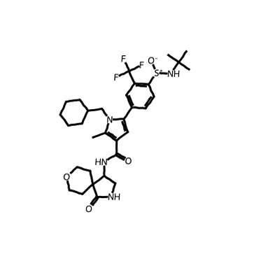 Cc1c(C(=O)NC2CNC(=O)C23CCOCC3)cc(-c2ccc([S+]([O-])NC(C)(C)C)c(C(F)(F)F)c2)n1CC1CCCCC1